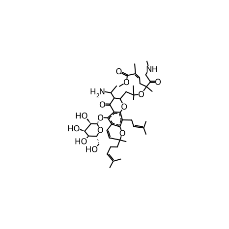 CNCC(=O)C(C)(C/C=C(/C)C(=O)OC)OC(C)(C)CC1Oc2c(CC=C(C)C)c3c(c(O[C@@H]4O[C@H](CO)[C@@H](O)[C@@H](O)[C@H]4O)c2C(=O)C1C(C)N)C=CC(C)(CCC=C(C)C)O3